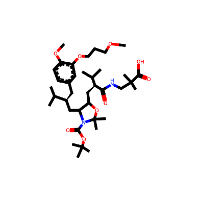 COCCCOc1cc(C[C@@H](CC2C(C[C@H](C(=O)NCC(C)(C)C(=O)O)C(C)C)OC(C)(C)N2C(=O)OC(C)(C)C)C(C)C)ccc1OC